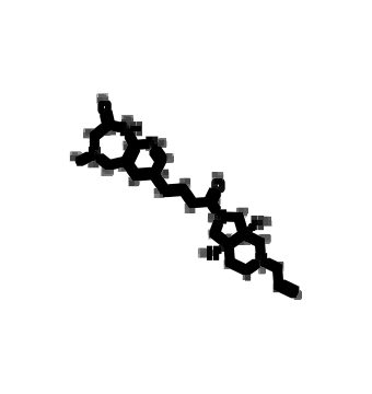 C=CCN1CC[C@H]2CN(C(=O)C/C=C/c3cnc4c(c3)CN(C)CC(=O)N4)C[C@H]2C1